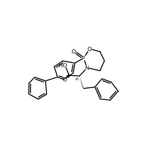 O=C(O)[C@@H](Cc1ccccc1)N1CCCOP1(=O)c1ccc(-c2ccccc2)cc1